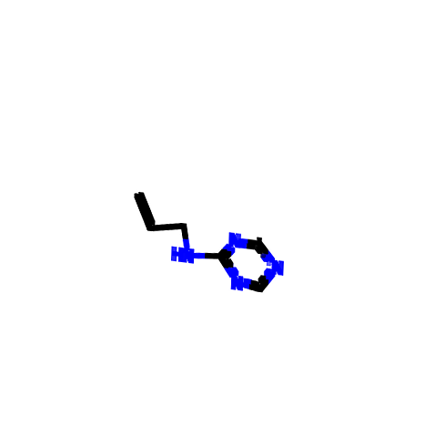 C=CCNc1n[c]ncn1